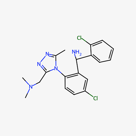 Cc1nnc(CN(C)C)n1-c1ccc(Cl)cc1C(N)c1ccccc1Cl